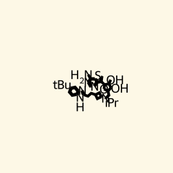 CC(C)N(CC1OC(c2csc3c(N)ncnc23)C(O)C1O)C1CC(CCc2nc3cc(C(C)(C)C)ccc3[nH]2)C1